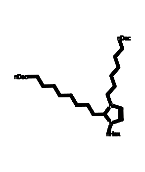 CCCCCCCCCCCCCCCCCCC1N(CCCCCC)C=CN1CCCCCCCCCCCCCCCC